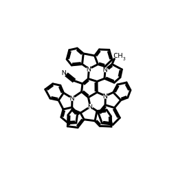 Cc1cccc(-c2c(-n3c4ccccc4c4ccccc43)c(C#N)c(-n3c4ccccc4c4ccccc43)c(-n3c4ccccc4c4ccccc43)c2-n2c3ccccc3c3ccccc32)n1